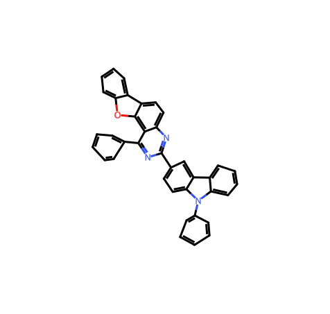 c1ccc(-c2nc(-c3ccc4c(c3)c3ccccc3n4-c3ccccc3)nc3ccc4c5ccccc5oc4c23)cc1